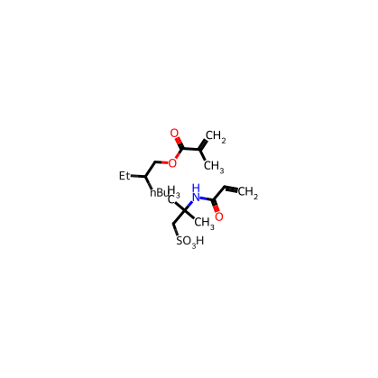 C=C(C)C(=O)OCC(CC)CCCC.C=CC(=O)NC(C)(C)CS(=O)(=O)O